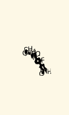 CC(=O)NC[C@H]1CN(c2ccc(C3=CC4CNC(=O)N4C3)c(F)c2)C(=O)O1